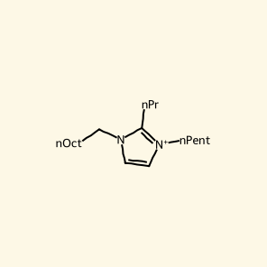 CCCCCCCCCn1cc[n+](CCCCC)c1CCC